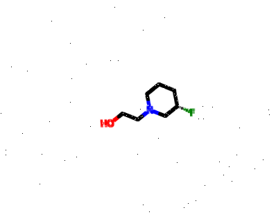 OCCN1CCC[C@H](F)C1